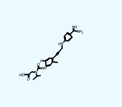 Cc1cc(NC(=O)N(CC(=O)O)C(C)C)c(F)cc1C#CCNc1ccc(C(=N)N)cc1